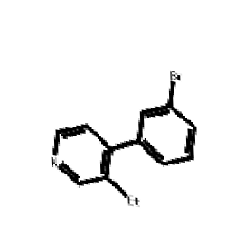 CCc1cnccc1-c1cccc(Br)c1